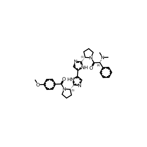 COc1ccc(C(=O)N2CCC[C@H]2c2ncc(-c3cnc([C@@H]4CCCN4C(=O)[C@@H](c4ccccc4)N(C)C)[nH]3)[nH]2)cc1